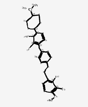 CCCCOc1ccc(CCc2ccc(-c3ccc(C4CCC(OCCC)CC4)c(F)c3F)cc2)c(F)c1F